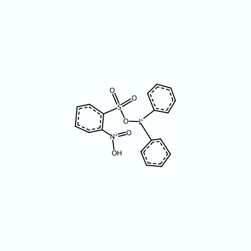 O=[N+](O)c1ccccc1S(=O)(=O)O[I+](c1ccccc1)c1ccccc1